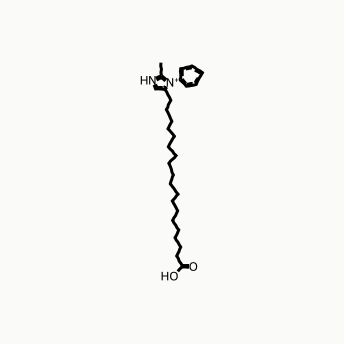 Cc1[nH]cc(CCCCCCCCCCCCCCCCCCC(=O)O)[n+]1-c1ccccc1